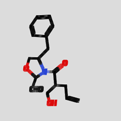 C=CCC(CO)C(=O)N1C(Cc2ccccc2)COC1C=O